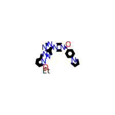 CCOc1cccc(Cn2ncc3c(N4CCN(C(=O)[C@H]5CC[C@H](N6CCCC6)CC5)CC4)ncnc32)n1